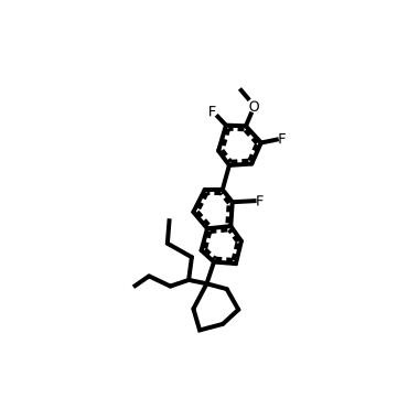 CCCC(CCC)C1(c2ccc3c(F)c(-c4cc(F)c(OC)c(F)c4)ccc3c2)CCCCC1